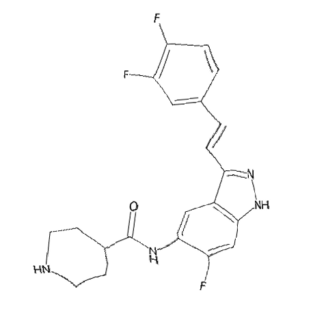 O=C(Nc1cc2c(/C=C/c3ccc(F)c(F)c3)n[nH]c2cc1F)C1CCNCC1